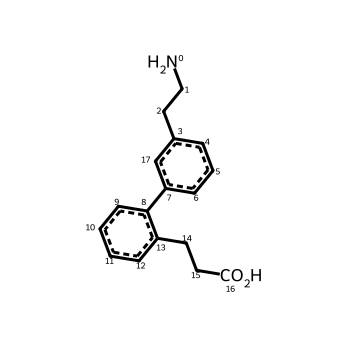 NCCc1cccc(-c2ccccc2CCC(=O)O)c1